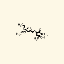 CCO[Si](P)(CCCSC1CC(O)(P)N(C)C1=O)OCC